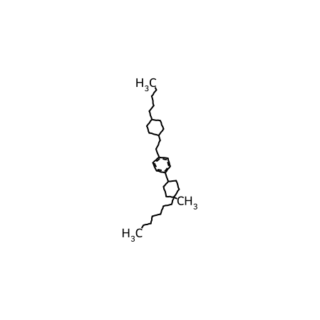 CCCCCCCC1(C)CCC(c2ccc(CCC3CCC(CCCCC)CC3)cc2)CC1